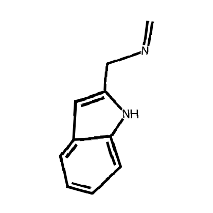 C=NCc1cc2ccccc2[nH]1